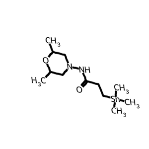 CC1CN(NC(=O)C[CH2][Sn]([CH3])([CH3])[CH3])CC(C)O1